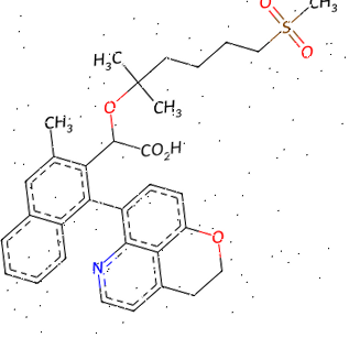 Cc1cc2ccccc2c(-c2ccc3c4c(ccnc24)CCO3)c1C(OC(C)(C)CCCCS(C)(=O)=O)C(=O)O